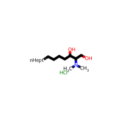 CCCCCCCCCCCC(O)C(CO)N(C)C.Cl